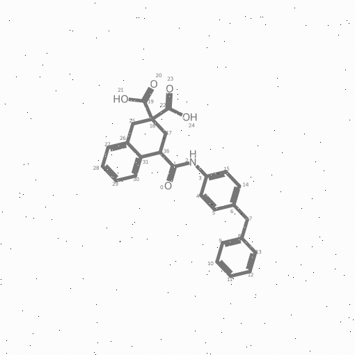 O=C(Nc1ccc(Cc2ccccc2)cc1)C1CC(C(=O)O)(C(=O)O)Cc2ccccc21